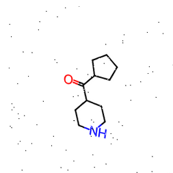 O=C(C1CCCC1)C1CCNCC1